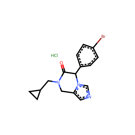 Cl.O=C1C(c2ccc(Br)cc2)n2cncc2CN1CC1CC1